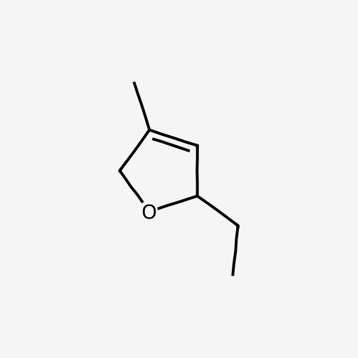 CCC1C=C(C)CO1